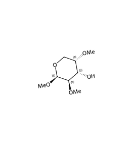 CO[C@H]1OC[C@H](OC)[C@H](O)[C@H]1OC